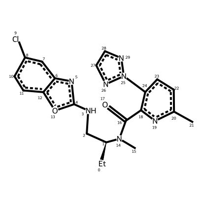 CC[C@@H](CNc1nc2cc(Cl)ccc2o1)N(C)C(=O)c1nc(C)ccc1-n1nccn1